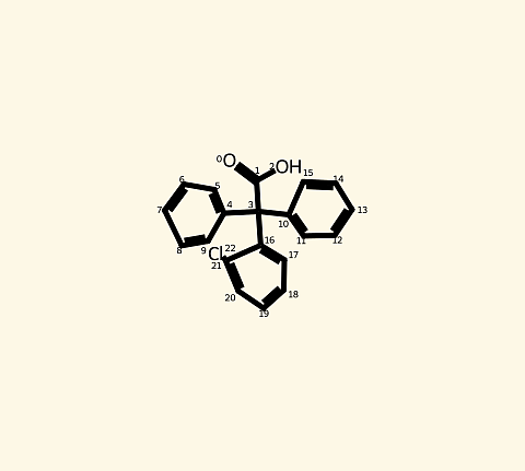 O=C(O)C(c1ccccc1)(c1ccccc1)c1ccccc1Cl